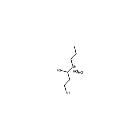 CCCNC(S)CCS.Cl.Cl